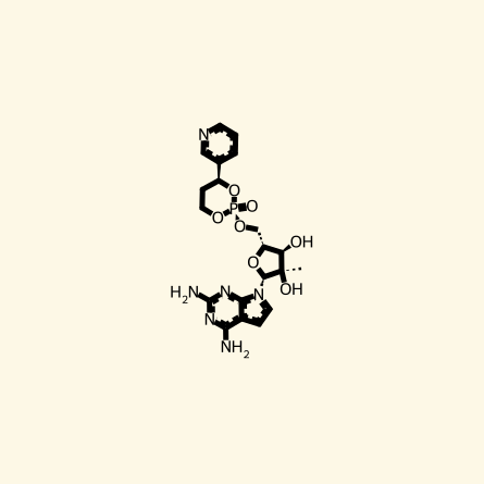 C[C@@]1(O)[C@H](O)[C@@H](CO[P@@]2(=O)OCC[C@@H](c3cccnc3)O2)O[C@H]1n1ccc2c(N)nc(N)nc21